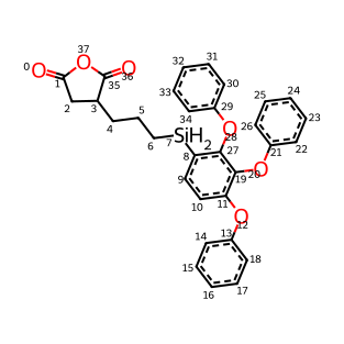 O=C1CC(CCC[SiH2]c2ccc(Oc3ccccc3)c(Oc3ccccc3)c2Oc2ccccc2)C(=O)O1